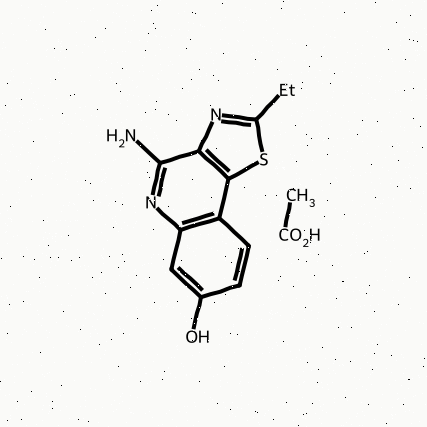 CC(=O)O.CCc1nc2c(N)nc3cc(O)ccc3c2s1